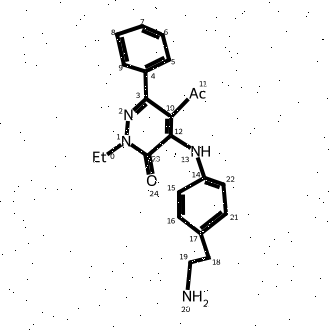 CCn1nc(-c2ccccc2)c(C(C)=O)c(Nc2ccc(CCN)cc2)c1=O